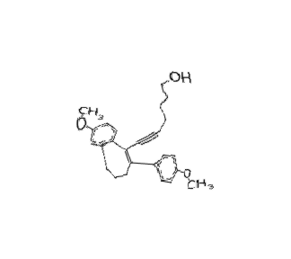 COc1ccc(C2=C(C#CCCCCO)c3ccc(OC)cc3CCC2)cc1